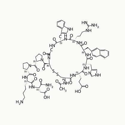 CC(=O)N[C@H]1CSSC[C@@H](C(=O)N2CCC[C@H]2C(=O)N2CCC[C@H]2C(=O)N[C@@H](CCCCN)C(=O)N[C@@H](CC(=O)O)C(N)=O)NC(=O)CNC(=O)[C@H](Cc2c[nH]c3ccccc23)NC(=O)[C@H](CCCNC(=N)N)NC(=O)[C@@H](Cc2ccc3ccccc3c2)NC(=O)[C@H](Cc2c[nH]cn2)NC(=O)[C@H](CCC(=O)O)NC1=O